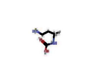 C[C@@H](CCN)NC(=O)O